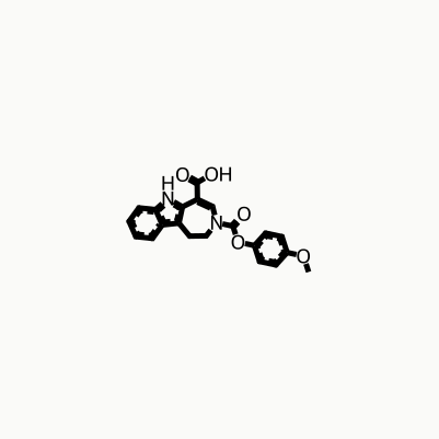 COc1ccc(OC(=O)N2C=C(C(=O)O)c3[nH]c4ccccc4c3CC2)cc1